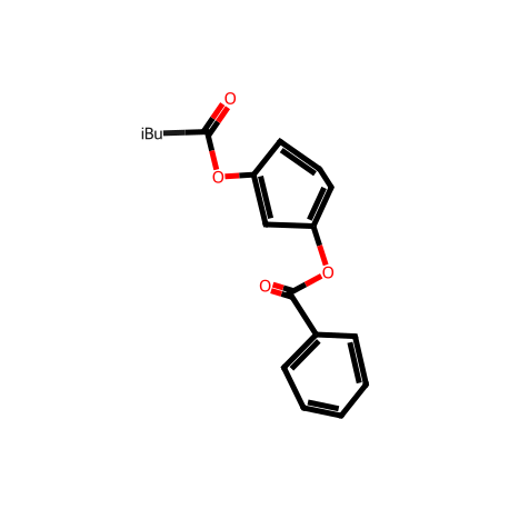 CCC(C)C(=O)Oc1cccc(OC(=O)c2ccccc2)c1